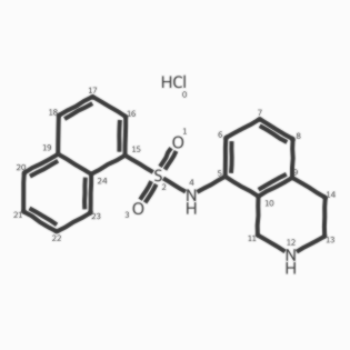 Cl.O=S(=O)(Nc1cccc2c1CNCC2)c1cccc2ccccc12